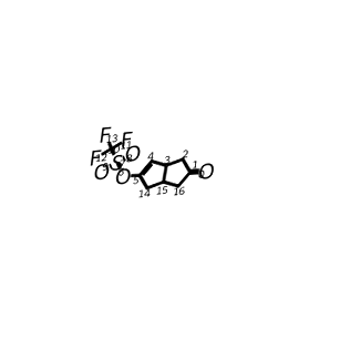 O=C1CC2C=C(OS(=O)(=O)C(F)(F)F)CC2C1